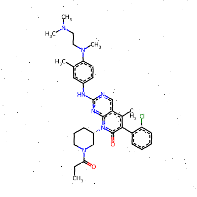 CCC(=O)N1CCC[C@H](n2c(=O)c(-c3ccccc3Cl)c(C)c3cnc(Nc4ccc(N(C)CCN(C)C)c(C)c4)nc32)C1